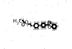 C=CC(=O)OCCC[C@H]1CC[C@H](c2ccc(C(=O)Oc3ccccc3Br)cc2)CC1